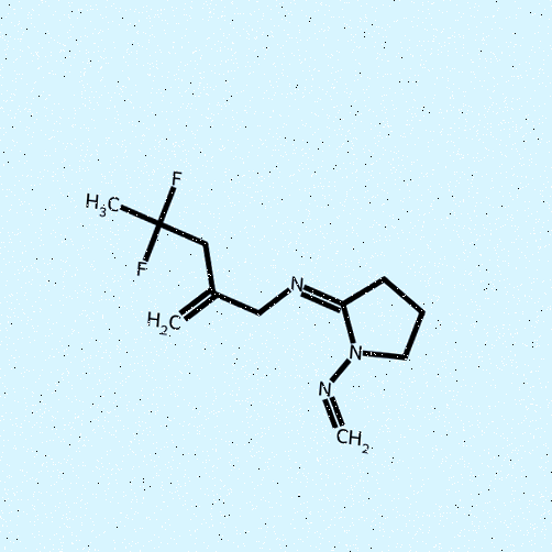 C=NN1CCC/C1=N/CC(=C)CC(C)(F)F